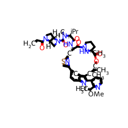 C=CC(=O)N1CC[C@H]2[C@@H]1CN2C(=O)N(C)[C@H](C(=O)N[C@H]1Cc2nc(cs2)-c2ccc3c(c2)c(c(-c2cccnc2[C@H](C)OC)n3CC)CC(C)(C)COC(=O)[C@@]2([SiH3])CCCN(N2)C1=O)C(C)C